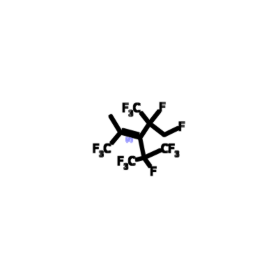 C/C(=C(\C(F)(CF)C(F)(F)F)C(F)(C(F)(F)F)C(F)(F)F)C(F)(F)F